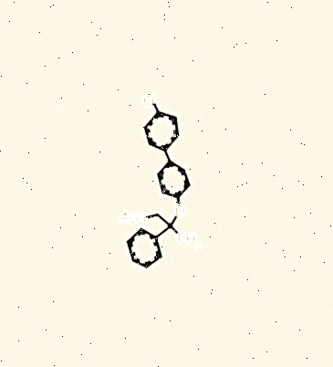 CC(=O)OCC(C)(Oc1ccc(-c2ccc(Cl)cc2)cc1)c1ccccc1